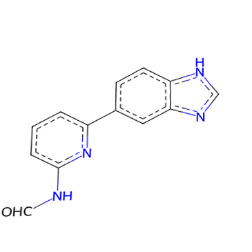 O=CNc1cccc(-c2ccc3[nH]cnc3c2)n1